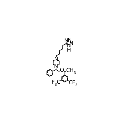 CC(OCC(c1ccccc1)N1CCN(CCCCCc2nnn[nH]2)CC1)c1cc(C(F)(F)F)cc(C(F)(F)F)c1